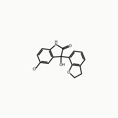 O=C1Nc2ccc(Cl)cc2C1(O)c1cccc2c1OCC2